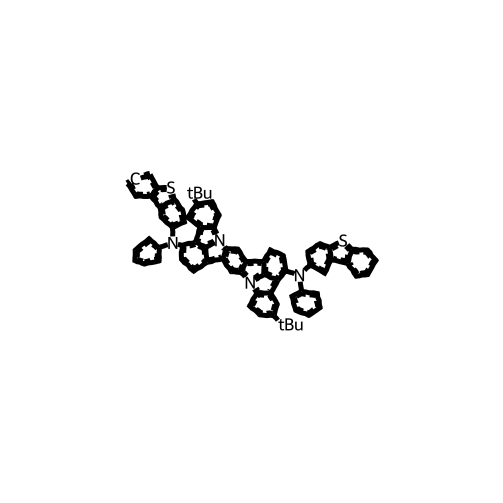 CC(C)(C)c1ccc2c(c1)c1c(N(c3ccccc3)c3ccc4sc5ccccc5c4c3)ccc3c4cc5c(cc4n2c31)c1ccc(N(c2ccccc2)c2ccc3sc4ccccc4c3c2)c2c3cc(C(C)(C)C)ccc3n5c12